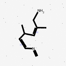 C=N/C=C\C(C)/C=C(/C)CN